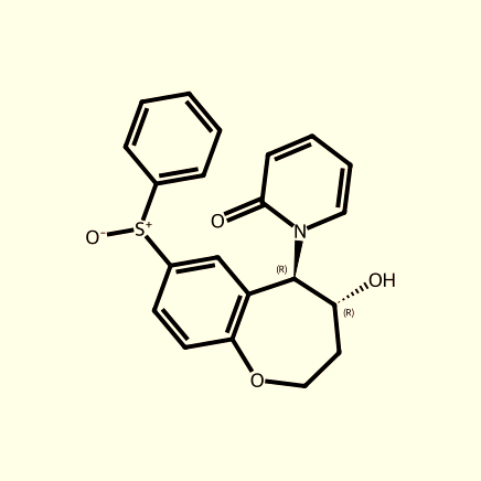 O=c1ccccn1[C@@H]1c2cc([S+]([O-])c3ccccc3)ccc2OCC[C@H]1O